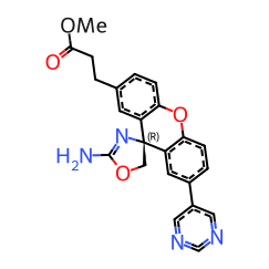 COC(=O)CCc1ccc2c(c1)[C@]1(COC(N)=N1)c1cc(-c3cncnc3)ccc1O2